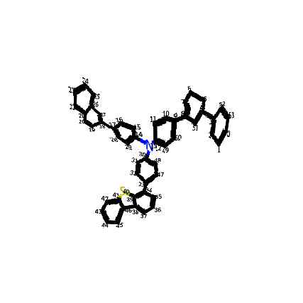 c1ccc(-c2cccc(-c3ccc(N(c4ccc(-c5ccc6ccccc6c5)cc4)c4ccc(-c5cccc6c5sc5ccccc56)cc4)cc3)c2)cc1